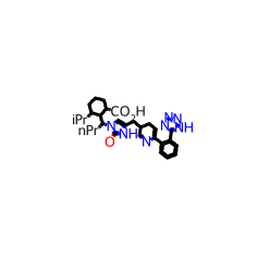 CCCC(C1C(C(=O)O)CCCC1C(C)C)n1cc(CC2C=NC(c3ccccc3-c3nnn[nH]3)=CC2)[nH]c1=O